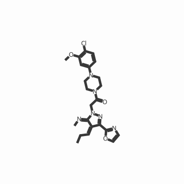 CC/C=C1/C(c2ncco2)=NN(CC(=O)N2CCN(c3ccc(Cl)c(OC)c3)CC2)/C1=N/C